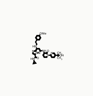 COc1ccc(CCNc2cc(Nc3cccn(-c4ccc(C(C)(C)O)cn4)c3=O)nn3c(C(=O)NC4CC4)cnc23)cc1